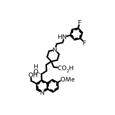 COc1ccc2ncc(CO)c([C@H](O)CCC3(CC(=O)O)CCN(CCNc4cc(F)cc(F)c4)CC3)c2c1